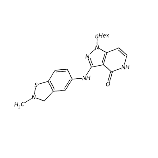 CCCCCCn1nc(Nc2ccc3c(c2)CN(C)S3)c2c(=O)[nH]ccc21